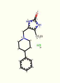 CCOC(=O)c1[nH]c(=O)[nH]c1CN1CCC(c2ccccc2)CC1.Cl